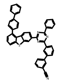 N#Cc1cccc(-c2cccc(-c3nc(-c4ccccc4)nc(-c4ccc5c(c4)sc4cccc(-c6ccc(-c7ccccc7)cc6)c45)n3)c2)c1